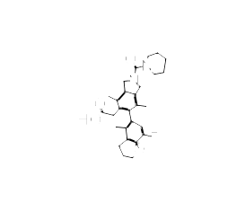 Cc1c(-c2c(C)c3c(c(C)c2CC(=O)O)CN(C(=O)N2CCCCC2)C3)cc(F)c2c1CCCO2